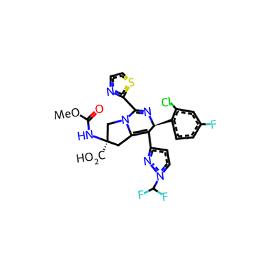 COC(=O)N[C@]1(C(=O)O)CC2=C(c3ccn(C(F)F)n3)[C@H](c3ccc(F)cc3Cl)N=C(c3nccs3)N2C1